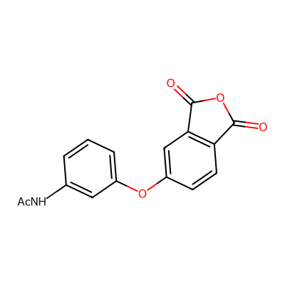 CC(=O)Nc1cccc(Oc2ccc3c(c2)C(=O)OC3=O)c1